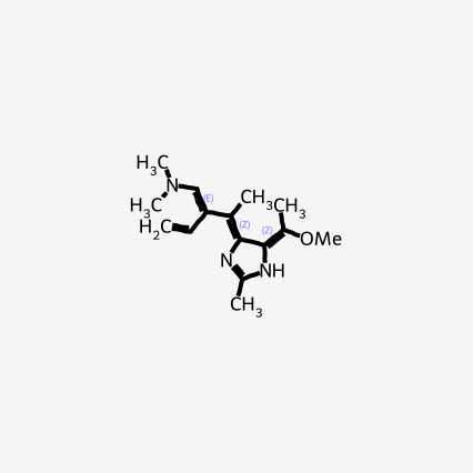 C=CC(=C\N(C)C)/C(C)=c1\nc(C)[nH]\c1=C(\C)OC